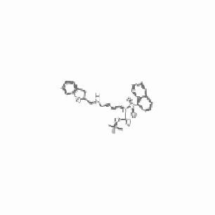 CC(C)(C)OC(=O)N(CCCCNCC1Cc2ccccc2O1)S(=O)(=O)c1cccc2ccccc12